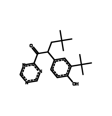 CC(C)(C)CC(C(=O)c1ncncn1)c1ccc(O)c(C(C)(C)C)c1